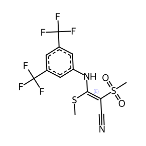 CS/C(Nc1cc(C(F)(F)F)cc(C(F)(F)F)c1)=C(\C#N)S(C)(=O)=O